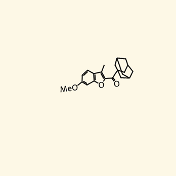 COc1ccc2c(C)c(C(=O)C34CC5CC(CC(C5)C3)C4)oc2c1